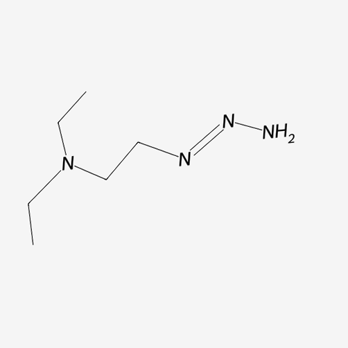 CCN(CC)CCN=NN